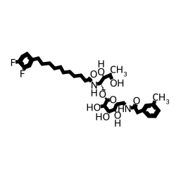 Cc1cccc(CC(=O)NCC2O[C@H](OC[C@H](NC(=O)CCCCCCCCCCc3ccc(F)c(F)c3)[C@H](O)[C@@H](C)O)C(O)C(O)[C@H]2O)c1